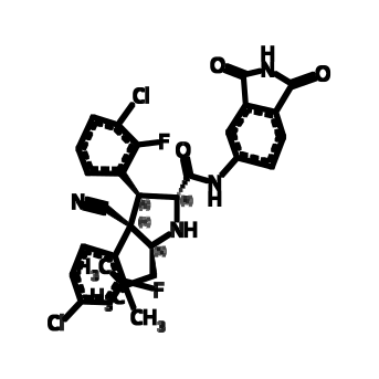 CC(C)(C)C[C@@H]1N[C@@H](C(=O)Nc2ccc3c(c2)C(=O)NC3=O)[C@H](c2cccc(Cl)c2F)[C@@]1(C#N)c1ccc(Cl)cc1F